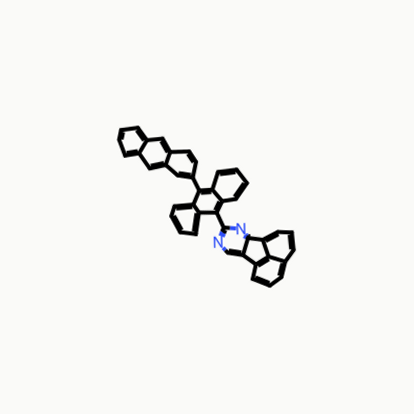 c1ccc2cc3cc(-c4c5ccccc5c(-c5ncc6c(n5)-c5cccc7cccc-6c57)c5ccccc45)ccc3cc2c1